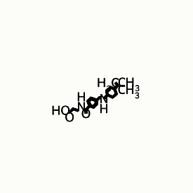 CC(C)(C)C1CCC(NCc2ccc(C(=O)NCCC(=O)O)cc2)CC1